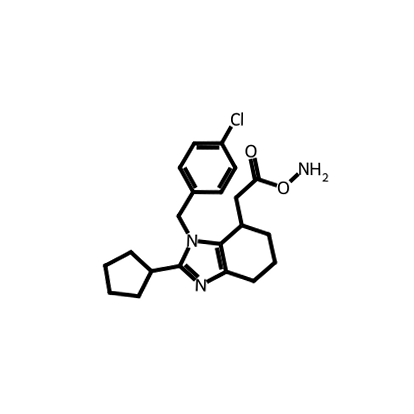 NOC(=O)CC1CCCc2nc(C3CCCC3)n(Cc3ccc(Cl)cc3)c21